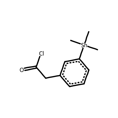 [CH3][Sn]([CH3])([CH3])[c]1cccc(CC(=O)Cl)c1